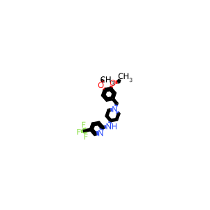 CCOc1cc(CN2CCC(Nc3ccc(C(F)(F)F)cn3)CC2)ccc1OC